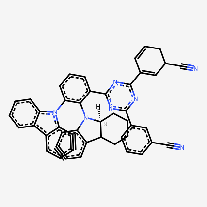 N#Cc1cccc(-c2nc(C3=CC(C#N)CC=C3)nc(-c3cccc(-n4c5c#cccc5c5ccccc54)c3N3c4cc#ccc4C4CCCC[C@@H]43)n2)c1